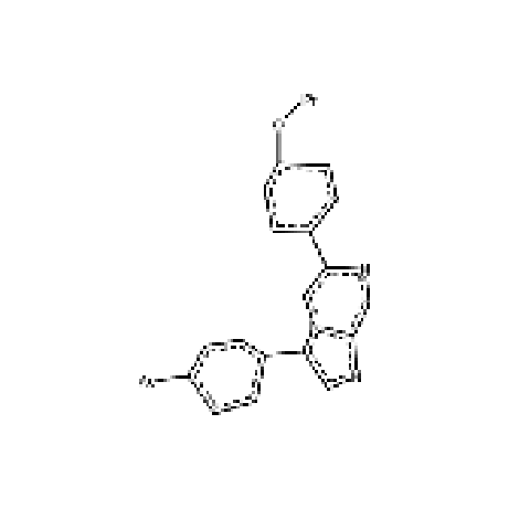 CC(=O)c1ccc(-c2cnc3cnc(-c4ccc(OC(C)C)cc4)cn23)cc1